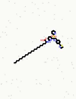 CCCCCCCCCCCCCCCCCCCCCCC(Nc1cccc(C(N)(Cc2ccc(-c3nccs3)cc2)S(=O)(=O)c2ccccn2)n1)C(=O)O